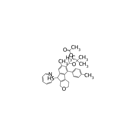 CC(=O)OCC(OC(C)(C)C)c1c(C)cc2c(c1-c1ccc(C)cc1)C1=C(COCC1)C2[SH]1C=CC=CC=N1